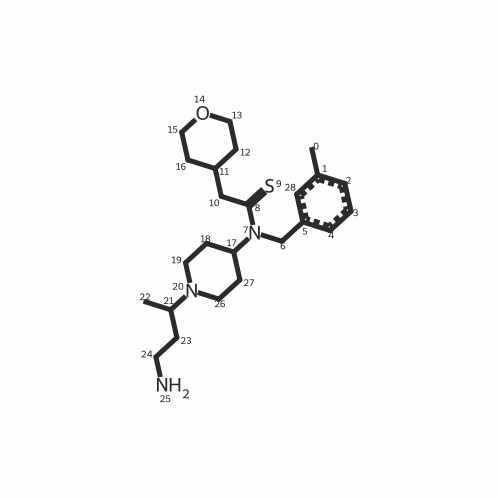 Cc1cccc(CN(C(=S)CC2CCOCC2)C2CCN(C(C)CCN)CC2)c1